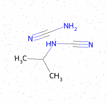 CC(C)NC#N.N#CN